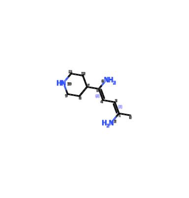 C/C(N)=C/C=C(\N)C1CCNCC1